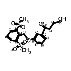 CS(=O)(=O)c1cccc(S(C)(=O)=O)c1COc1cccc(C(=O)CCCO)c1